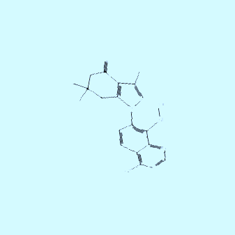 CCCCNc1c(-n2cc(C)c3c2CC(C)(C)CC3=O)ccc2c(N)ncnc12